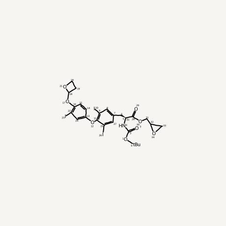 CC(C)(C)OC(=O)N[C@@H](Cc1cc(I)c(Oc2ccc(OC3CCO3)c(I)c2)c(I)c1)C(=O)OCC1CO1